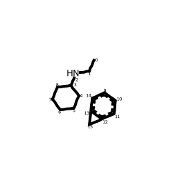 CCNC1CCCCC1.c1ccc2c(c1)C2